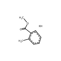 COC(=O)c1ccccc1C.[KH]